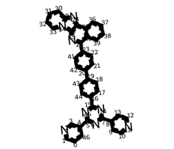 c1cncc(-c2nc(-c3ccncc3)nc(-c3ccc(-c4ccc(-c5nc6c(nc7ccccn76)c6ccccc56)cc4)cc3)n2)c1